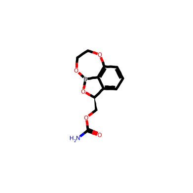 NC(=O)OC[C@H]1OB2OCCOc3cccc1c32